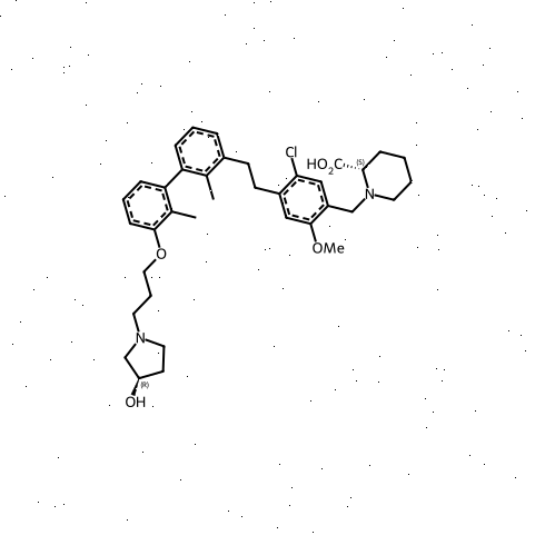 COc1cc(CCc2cccc(-c3cccc(OCCCN4CC[C@@H](O)C4)c3C)c2C)c(Cl)cc1CN1CCCC[C@H]1C(=O)O